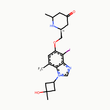 CC1CC(=O)C[C@@H](COc2cc(C(F)(F)F)c3c(ncn3C3CC(C)(O)C3)c2I)N1